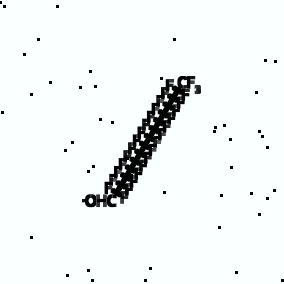 O=[C]C(F)(F)C(F)(F)C(F)(F)C(F)(F)C(F)(F)C(F)(F)C(F)(F)C(F)(F)C(F)(F)C(F)(F)C(F)(F)C(F)(F)C(F)(F)C(F)(F)C(F)(F)F